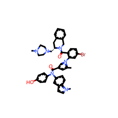 Cc1cc(C(=O)N(c2ccc(O)cc2)c2ccc3c(ccn3C)c2)cn1-c1cc(Br)ccc1C(=O)N1Cc2ccccc2C[C@H]1CN1CCN(C)CC1